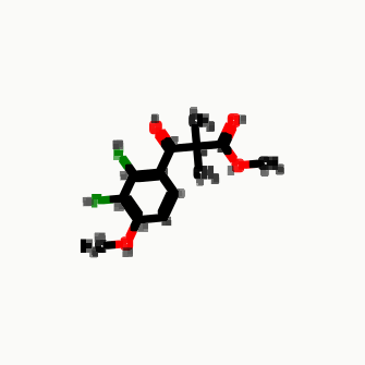 COC(=O)C(C)(C)C(=O)c1ccc(OC)c(F)c1F